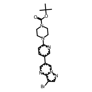 CC(C)(C)OC(=O)N1CCN(c2ccc(-c3cnc4c(Br)cnn4c3)cn2)CC1